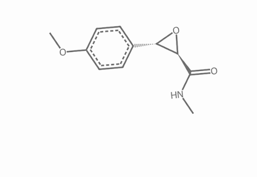 CNC(=O)[C@@H]1O[C@H]1c1ccc(OC)cc1